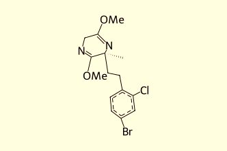 COC1=N[C@@](C)(CCc2ccc(Br)cc2Cl)C(OC)=NC1